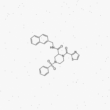 O=C(NCc1ccc2ccccc2c1)C1CN(S(=O)(=O)c2ccccc2)CCN1C(=O)c1nccs1